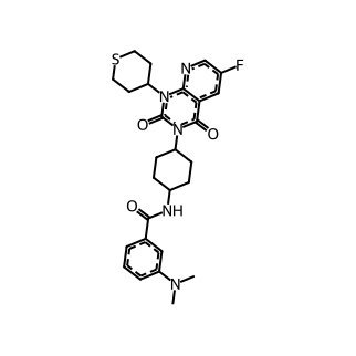 CN(C)c1cccc(C(=O)NC2CCC(n3c(=O)c4cc(F)cnc4n(C4CCSCC4)c3=O)CC2)c1